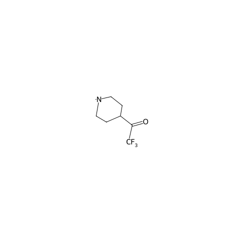 O=C(C1CC[N]CC1)C(F)(F)F